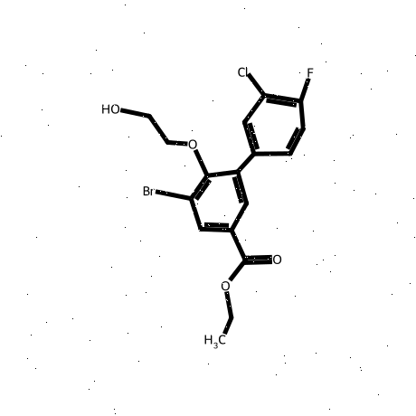 CCOC(=O)c1cc(Br)c(OCCO)c(-c2ccc(F)c(Cl)c2)c1